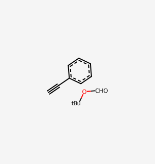 C#Cc1ccccc1.CC(C)(C)OC=O